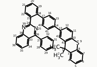 CC1(C)c2ccccc2Sc2ccc(-c3ccc(-c4ccccc4-c4nc(-c5ccccc5)c5ccccc5n4)cc3)cc21